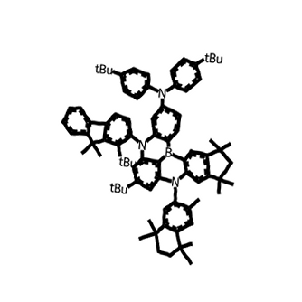 Cc1cc2c(cc1N1c3cc4c(cc3B3c5ccc(N(c6ccc(C(C)(C)C)cc6)c6ccc(C(C)(C)C)cc6)cc5N(c5ccc6c(c5C(C)(C)C)C(C)(C)c5ccccc5-6)c5cc(C(C)(C)C)cc1c53)C(C)(C)CC4(C)C)C(C)(C)CCC2(C)C